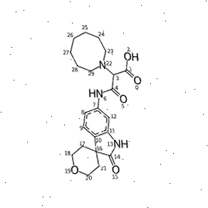 O=C(O)C(C(=O)Nc1ccc2c(c1)NC(=O)C21CCOCC1)N1CCCCCCC1